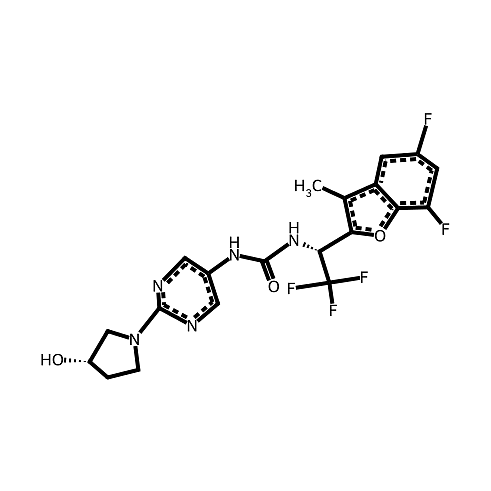 Cc1c([C@@H](NC(=O)Nc2cnc(N3CC[C@H](O)C3)nc2)C(F)(F)F)oc2c(F)cc(F)cc12